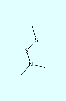 CSSN(C)C